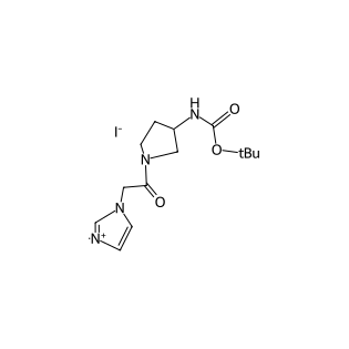 CC(C)(C)OC(=O)NC1CCN(C(=O)CN2C=C[N+]=C2)C1.[I-]